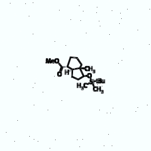 COC(=O)[C@@H]1CCC[C@]2(C)[C@@H](O[Si](C)(C)C(C)(C)C)CC[C@@H]12